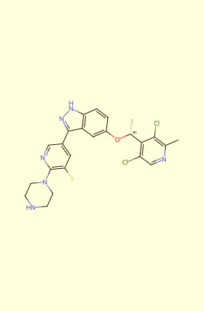 Cc1ncc(Cl)c([C@@H](C)Oc2ccc3[nH]nc(-c4cnc(N5CCNCC5)c(F)c4)c3c2)c1Cl